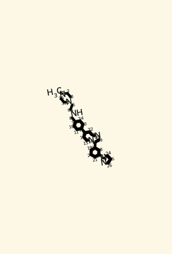 CN1CCN(CCNCc2ccc(-c3ccn4c(-c5cccc(-n6cccn6)c5)cnc4c3)cc2)CC1